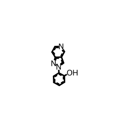 Oc1ccccc1-n1cc2cnccc2n1